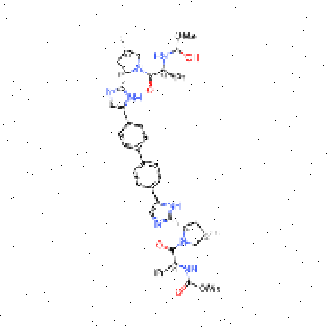 COC(=O)N[C@H](C(=O)N1C[C@@H](C)C[C@H]1c1ncc(-c2ccc(-c3ccc(-c4cnc([C@@H]5C[C@H](C)CN5C(=O)[C@@H](NC(O)OC)C(C)C)[nH]4)cc3)cc2)[nH]1)C(C)C